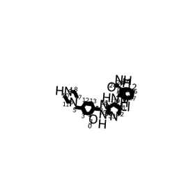 COc1cc(CN2CCNCC2)ccc1-c1nc2c(N[C@H]3[C@@H](C(N)=O)[C@@H]4C=C[C@H]3C4)c(Cl)cnc2[nH]1